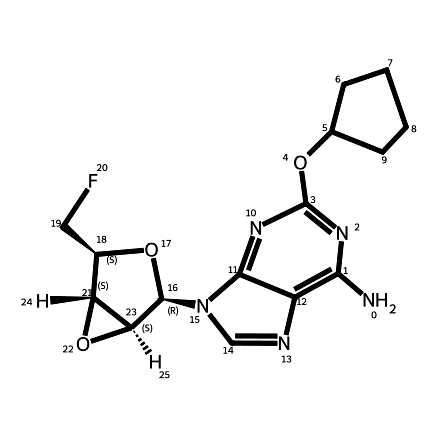 Nc1nc(OC2CCCC2)nc2c1ncn2[C@@H]1O[C@H](CF)[C@H]2O[C@@H]21